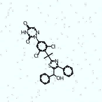 CC(C)(c1nc(-c2ccccc2)c(C(O)c2ccccc2)s1)c1c(Cl)cc(-n2ncc(=O)[nH]c2=O)cc1Cl